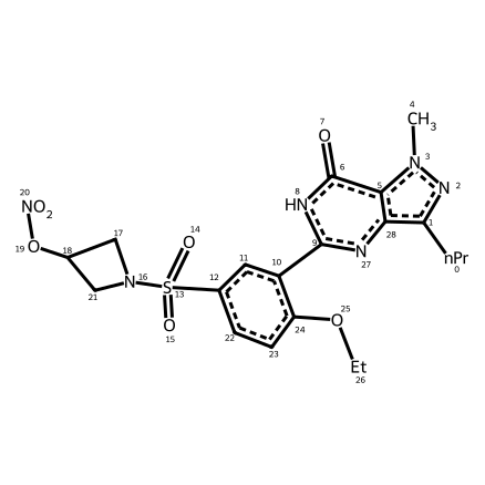 CCCc1nn(C)c2c(=O)[nH]c(-c3cc(S(=O)(=O)N4CC(O[N+](=O)[O-])C4)ccc3OCC)nc12